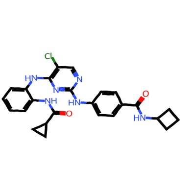 O=C(NC1CCC1)c1ccc(Nc2ncc(Cl)c(Nc3ccccc3NC(=O)C3CC3)n2)cc1